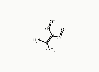 NC(N)=C(N=O)N=O